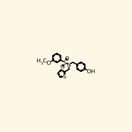 COc1cccc(S(=O)(=O)N(Cc2ccc(O)cc2)Cc2cccs2)c1